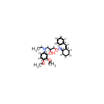 CCN(CC(O)CO/N=C1\CCCC\C1=C\c1ccccc1)c1ccc(OC)c(OC)c1